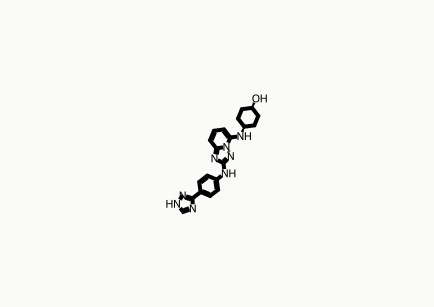 O[C@H]1CC[C@@H](Nc2cccc3nc(Nc4ccc(-c5nc[nH]n5)cc4)nn23)CC1